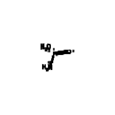 NP=O.O